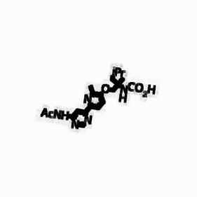 CC(=O)Nc1cc(-c2ccc(OCC(C)(CC(C)C)NC(=O)O)c(C)n2)ncn1